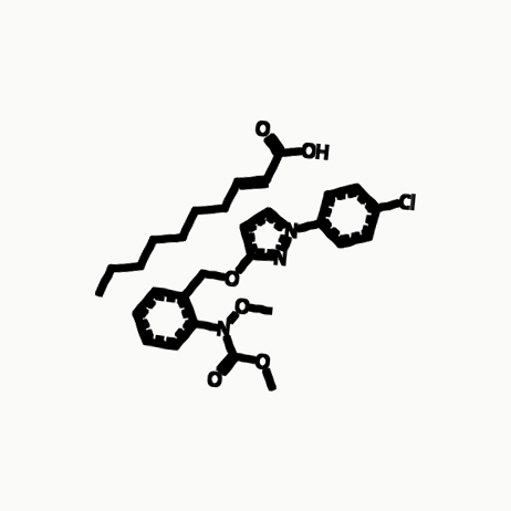 CCCCCCC/C=C/C(=O)O.COC(=O)N(OC)c1ccccc1COc1ccn(-c2ccc(Cl)cc2)n1